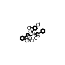 N#Cc1ccccc1-c1ccc(CN(C(=O)c2ccc(Cl)cc2Cl)c2cc(-c3ccccc3)sc2C(=O)O)s1